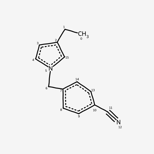 CCc1ccn(Cc2ccc(C#N)cc2)c1